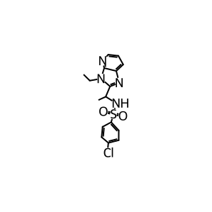 CCn1c(C(C)NS(=O)(=O)c2ccc(Cl)cc2)nc2cccnc21